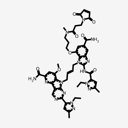 CCn1nc(C)cc1C(=O)Nc1nc2cc(C(N)=O)cc(OCCCN(C)C(=O)CCN3C(=O)C=CC3=O)c2n1C/C=C/Cn1c2nc(-c3cc(C)nn3CC)ncc2c2nc(C(N)=O)cc(OC)c21